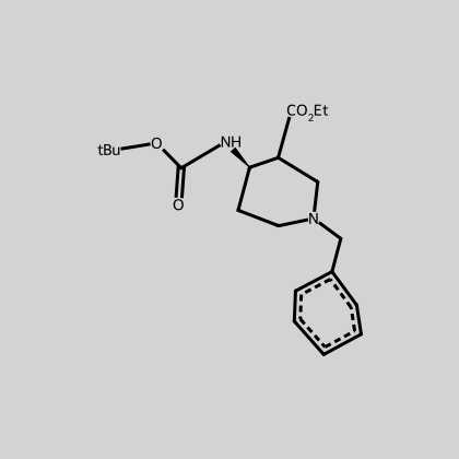 CCOC(=O)C1CN(Cc2ccccc2)CC[C@H]1NC(=O)OC(C)(C)C